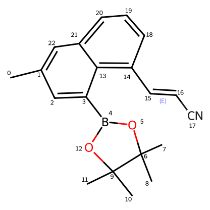 Cc1cc(B2OC(C)(C)C(C)(C)O2)c2c(/C=C/C#N)cccc2c1